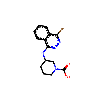 O=C(O)N1CCCC(Nc2nnc(Br)c3ccccc23)C1